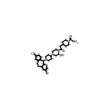 CC(C)[C@H]1CN(C2CCN(C3c4ccc(Cl)cc4CCc4cc(Br)cnc43)CC2)CCN1C(=O)CC1CCN(C(N)=O)CC1